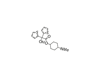 CNC1CCC(OC(=O)C(O)(c2cccs2)c2cccs2)CC1